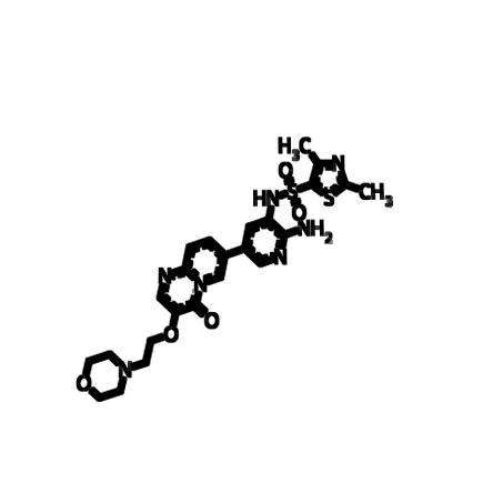 Cc1nc(C)c(S(=O)(=O)Nc2cc(-c3ccc4ncc(OCCN5CCOCC5)c(=O)n4c3)cnc2N)s1